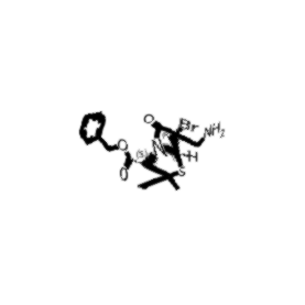 CC1(C)S[C@H]2N(C(=O)[C@]2(Br)CN)[C@H]1C(=O)OCc1ccccc1